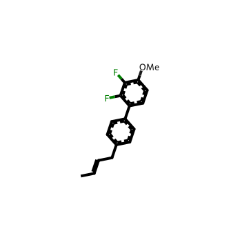 CC=CCc1ccc(-c2ccc(OC)c(F)c2F)cc1